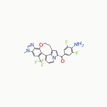 Cn1cnc2c3c(c(C(F)(F)F)cc21)-c1cccn2c(C(=O)c4cc(F)c(N)c(F)c4)cc(c12)CCO3